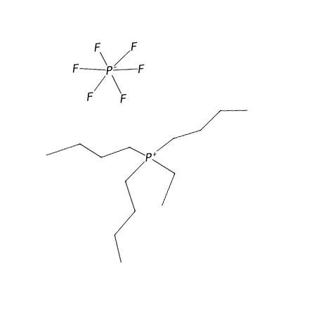 CCCC[P+](CC)(CCCC)CCCC.F[P-](F)(F)(F)(F)F